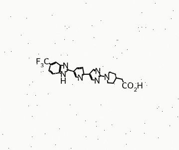 O=C(O)CC1CCN(c2ncc(-c3ccc(-c4nc5cc(C(F)(F)F)ccc5[nH]4)cn3)cn2)CC1